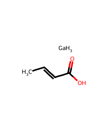 C/C=C/C(=O)O.[GaH3]